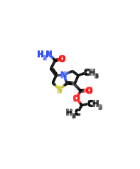 CC(C)OC(=O)C1=C2SCC(=CC(N)=O)N2CC1C